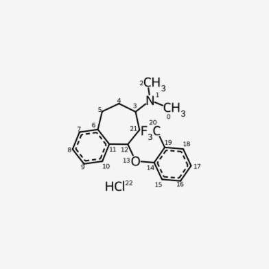 CN(C)C1CCc2ccccc2C(Oc2ccccc2C(F)(F)F)C1.Cl